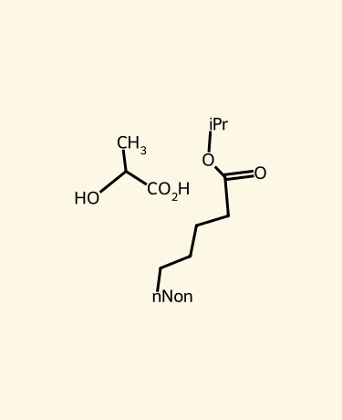 CC(O)C(=O)O.CCCCCCCCCCCCCC(=O)OC(C)C